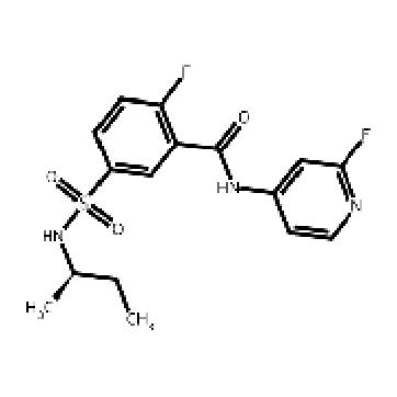 CC[C@@H](C)NS(=O)(=O)c1ccc(F)c(C(=O)Nc2ccnc(F)c2)c1